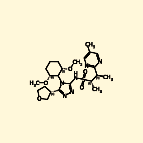 CO[C@H]1CCC[C@@H](OC)C1n1c(NS(=O)(=O)[C@@H](C)[C@H](C)c2ncc(C)cn2)nnc1[C@H]1CCOC1